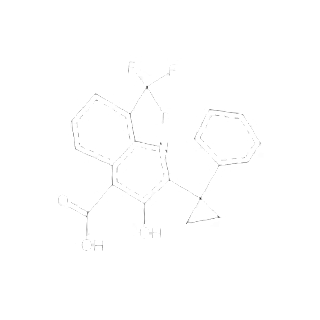 O=C(O)c1c(O)c(C2(c3ccccc3)CC2)nc2c(C(F)(F)F)cccc12